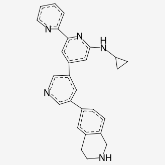 c1ccc(-c2cc(-c3cncc(-c4ccc5c(c4)CCNC5)c3)cc(NC3CC3)n2)nc1